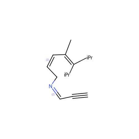 C#C/C=N\C/C=C\C(C)=C(C(C)C)C(C)C